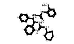 COc1ccccc1NC(=O)N[C@@H](c1ccccc1)[C@@H](NC(=O)NC1CCCCC1)c1ccccc1